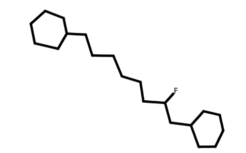 FC(CCCCCCC1CCCCC1)CC1CCCCC1